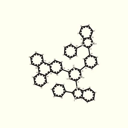 c1ccc(-c2nc3ccccc3n2-c2nc(-c3cccc(-c4nc5ccccc5n4-c4ccccc4)c3)nc(-c3ccc4c5ccccc5c5ccccc5c4c3)n2)cc1